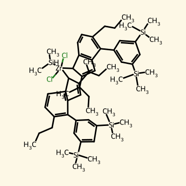 CCCc1ccc2c(c1-c1cc([Si](C)(C)C)cc([Si](C)(C)C)c1)C=C(C(C)CC)[CH]2[Zr]([Cl])([Cl])([CH]1C(C(C)CC)=Cc2c1ccc(CCC)c2-c1cc([Si](C)(C)C)cc([Si](C)(C)C)c1)[SiH](C)C